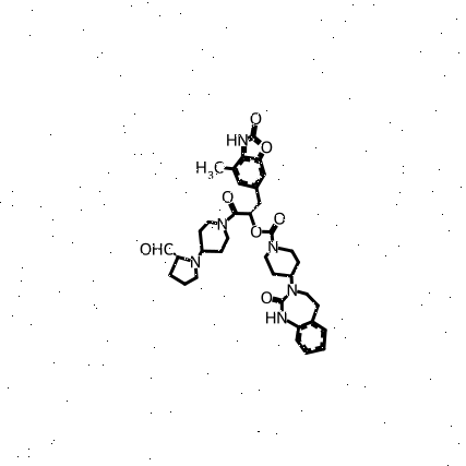 Cc1cc(C[C@@H](OC(=O)N2CCC(N3CCc4ccccc4NC3=O)CC2)C(=O)N2CCC(N3CCC[C@@H]3C=O)CC2)cc2oc(=O)[nH]c12